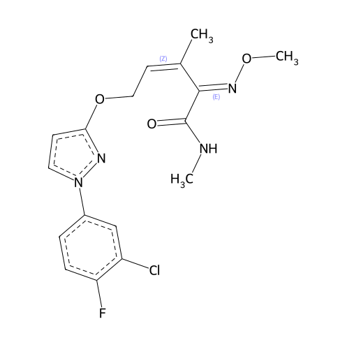 CNC(=O)C(=N/OC)/C(C)=C\COc1ccn(-c2ccc(F)c(Cl)c2)n1